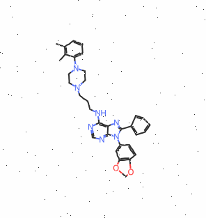 Cc1cccc(N2CCN(CCCNc3ncnc4c3nc(-c3ccccc3)n4-c3ccc4c(c3)OCO4)CC2)c1C